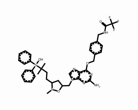 CN1OC(Cn2cnc3c(OCc4ccc(CNC(=O)C(F)(F)F)cc4)nc(N)nc32)CC1CCC(C)(C)[Si](O)(c1ccccc1)c1ccccc1